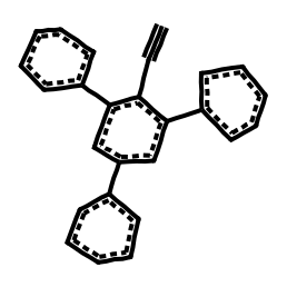 C#Cc1c(-c2ccccc2)cc(-c2ccccc2)cc1-c1ccccc1